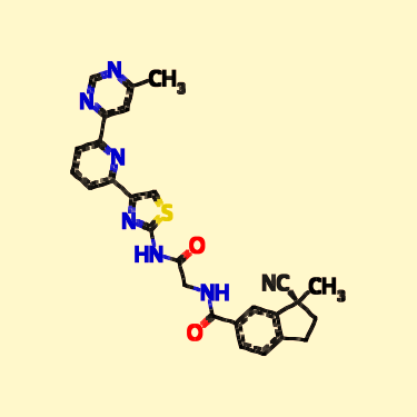 Cc1cc(-c2cccc(-c3csc(NC(=O)CNC(=O)c4ccc5c(c4)[C@@](C)(C#N)CC5)n3)n2)ncn1